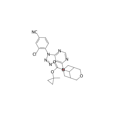 CC1(OC(=O)N2CC3COCC(C2)C3Oc2ncnc3c2nnn3-c2ccc(C#N)cc2Cl)CC1